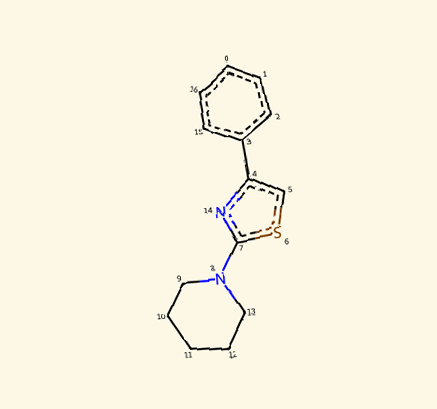 c1ccc(-c2csc(N3CCCCC3)n2)cc1